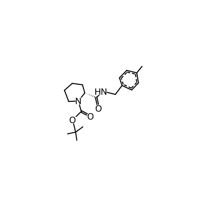 Cc1ccc(CNC(=O)[C@H]2CCCCN2C(=O)OC(C)(C)C)cc1